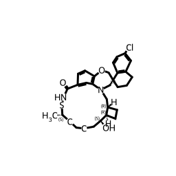 C[C@H]1CCCC[C@H](O)[C@@H]2CC[C@H]2CN2C[C@@]3(CCCc4cc(Cl)ccc43)COc3ccc(cc32)C(=O)NS1